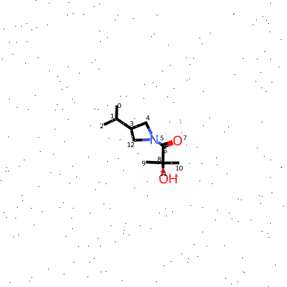 CC(C)C1CN(C(=O)C(C)(C)O)C1